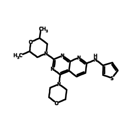 CC1CN(c2nc(N3CCOCC3)c3ccc(Nc4ccsc4)nc3n2)CC(C)O1